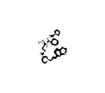 O=C(O)C(CNC(=O)[C@@H]1CCCN(CCCc2ccc3c(n2)NCCC3)C1)NC(=O)[C@@H]1CCCC[C@H]1C(=O)N1CCCC1